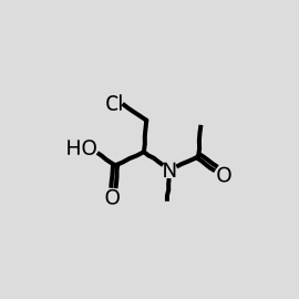 CC(=O)N(C)C(CCl)C(=O)O